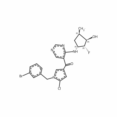 [CH2][C@@H]1C[C@@H](Nc2ncncc2C(=O)c2cc(Cl)n(Cc3cccc(Br)c3)c2)[C@@H](F)[C@@H]1O